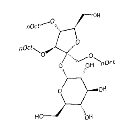 CCCCCCCCOC[C@@]1(O[C@H]2O[C@H](CO)[C@@H](O)[C@H](O)[C@H]2O)O[C@H](CO)[C@@H](OCCCCCCCC)[C@@H]1OCCCCCCCC